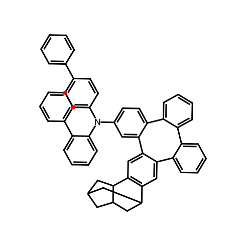 c1ccc(-c2ccc(N(c3ccc4c(c3)-c3cc5c(cc3-c3ccccc3-c3ccccc3-4)C3CC4CC(C3)C5C4)c3ccccc3-c3ccccc3)cc2)cc1